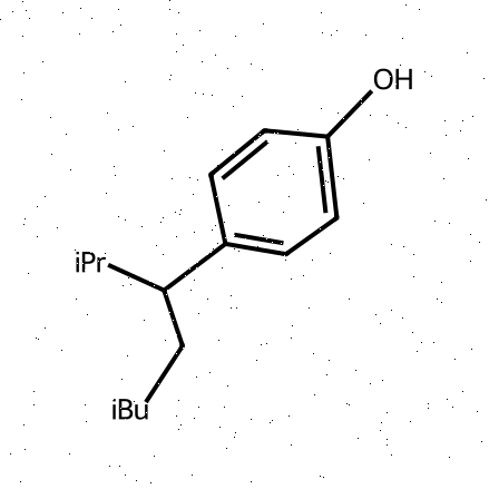 CCC(C)CC(c1ccc(O)cc1)C(C)C